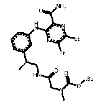 CCc1nc(Nc2cccc([C@H](C)CNC(=O)CN(C)C(=O)OC(C)(C)C)c2)c(C(N)=O)nc1CC